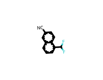 N#Cc1ccc2c([C](F)F)cccc2c1